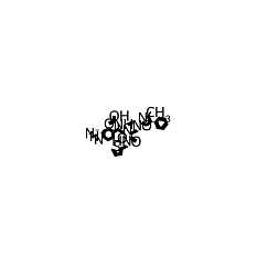 C[C@@H]1N=C(N2CCN(C(=O)[C@H](NC(=O)O)C3CCC(N=[N+]=[N-])CC3)[C@H](C(=O)NCc3cccs3)C2)O[C@H]1c1ccccc1